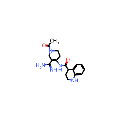 CC(=O)N1CCC(NC(=O)C2CCNc3ccccc32)=C(C(=N)N)C1